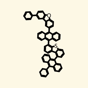 C1=CCCC(c2c3ccccc3c(-c3cccc4sc5c(-c6c7ccccc7c(-c7ccc8oc9ccc(-c%10ccccc%10)cc9c8c7)c7ccccc67)cccc5c34)c3ccccc23)=C1